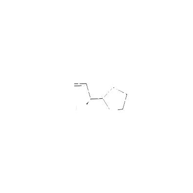 [CH]=C[C@H](O)C1CCCC1